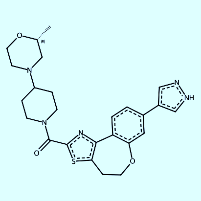 C[C@@H]1CN(C2CCN(C(=O)c3nc4c(s3)CCOc3cc(-c5cn[nH]c5)ccc3-4)CC2)CCO1